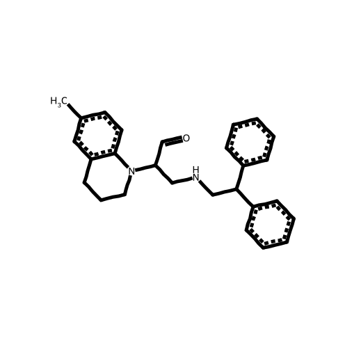 Cc1ccc2c(c1)CCCN2C(C=O)CNCC(c1ccccc1)c1ccccc1